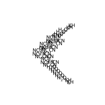 N#[C][Fe]([C]#N)([C]#N)([C]#N)([C]#N)[C]#N.N#[C][Fe]([C]#N)([C]#N)([C]#N)([C]#N)[C]#N.N#[C][Fe]([C]#N)([C]#N)([C]#N)([C]#N)[C]#N.N#[C][Fe]([C]#N)([C]#N)([C]#N)([C]#N)[C]#N.O.O.O.O.O.O.O.O.O.O.[KH].[KH].[KH].[KH]